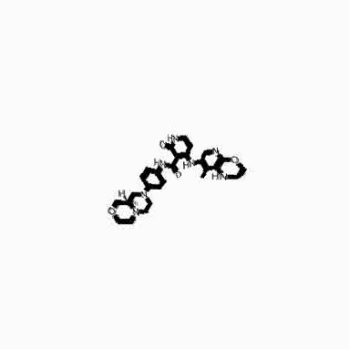 Cc1c(Nc2cc[nH]c(=O)c2C(=O)Nc2ccc(N3CCN4CCOC[C@H]4C3)cc2)cnc2c1NCCO2